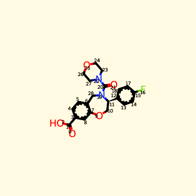 O=C(O)c1ccc2c(c1)OC[C@H](c1ccc(F)cc1)N(C(=O)N1CCOCC1)C2